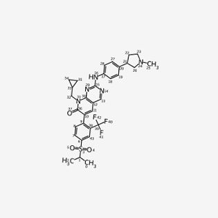 CC(C)S(=O)(=O)c1ccc(-c2cc3cnc(Nc4ccc(C5CCN(C)C5)cc4)nc3n(CC3CC3)c2=O)c(C(F)(F)F)c1